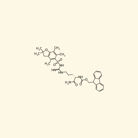 Cc1c(C)c(S(=O)(=O)NC(=N)NCCC[C@H](NC(=O)OCC2c3ccccc3-c3ccccc32)C(N)=O)c(C)c2c1OC(C)(C)C2